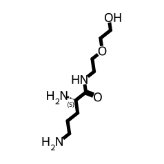 NCCC[C@H](N)C(=O)NCCOCCO